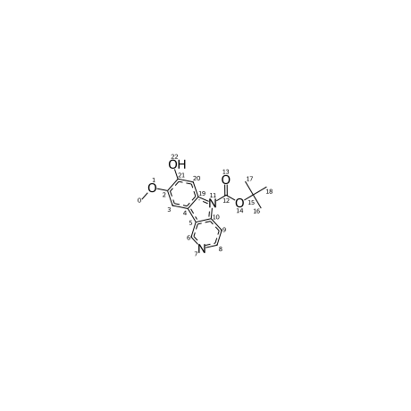 COc1cc2c3cnccc3n(C(=O)OC(C)(C)C)c2cc1O